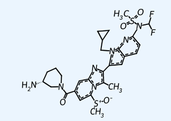 Cc1c(-c2cc3ccc(N(C(F)F)S(C)(=O)=O)nc3n2CC2CC2)nc2cc(C(=O)N3CCC[C@@H](N)C3)cc([S+](C)[O-])n12